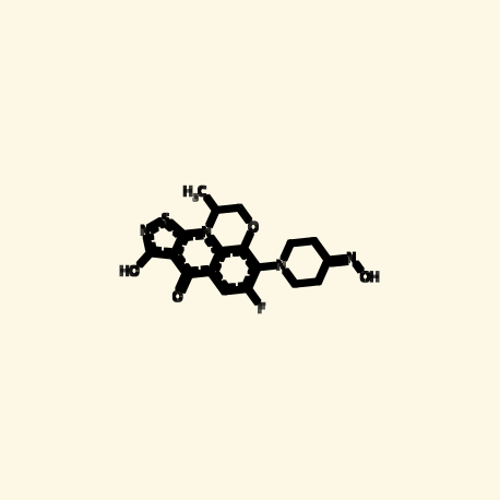 CC1COc2c(N3CCC(=NO)CC3)c(F)cc3c(=O)c4c(O)nsc4n1c23